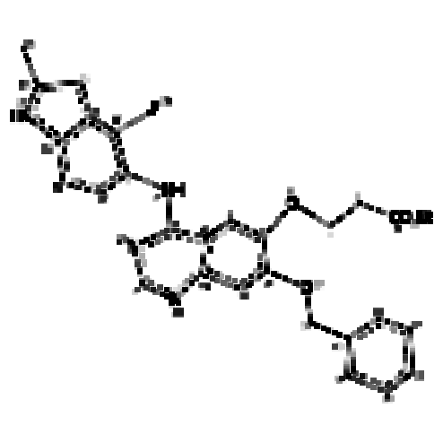 CCOC(=O)CCOc1cc2c(Nc3ccc4[nH]c(C)cc4c3F)ncnc2cc1OCc1ccccc1